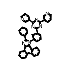 c1ccc(-c2nc3c4ccccc4c4ccccc4c3n2-c2cccc(-c3nc(-c4cccnc4)nc(-c4cccnc4)n3)c2)cc1